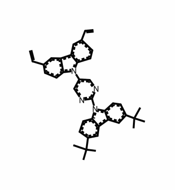 C=Cc1ccc2c(c1)c1cc(C=C)ccc1n2-c1cnc(-n2c3ccc(C(C)(C)C)cc3c3cc(C(C)(C)C)ccc32)nc1